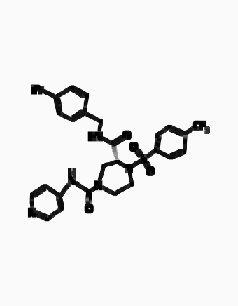 CC(C)c1ccc(CNC(=O)[C@H]2CN(C(=O)Nc3ccncc3)CCN2S(=O)(=O)c2ccc(C(F)(F)F)cc2)cc1